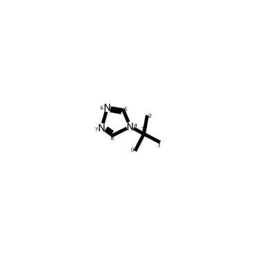 CC(C)(C)n1[c]nnc1